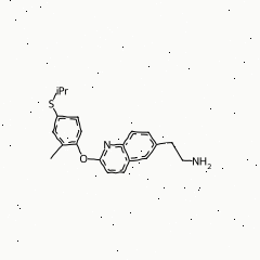 Cc1cc(SC(C)C)ccc1Oc1ccc2cc(CCN)ccc2n1